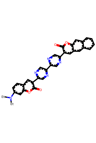 CCN(CC)c1ccc2cc(-c3cnc(-c4cnc(-c5cc6cc7ccccc7cc6oc5=O)cn4)cn3)c(=O)oc2c1